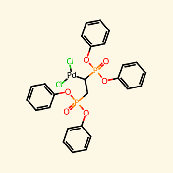 O=P(C[CH]([Pd]([Cl])[Cl])P(=O)(Oc1ccccc1)Oc1ccccc1)(Oc1ccccc1)Oc1ccccc1